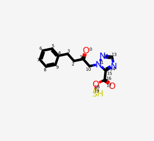 O=C(CCc1ccccc1)Cn1ncnc1C(=O)OS